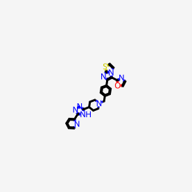 c1ccc(-c2nnc(C3CCN(Cc4ccc(-c5nc6sccn6c5-c5ncco5)cc4)CC3)[nH]2)nc1